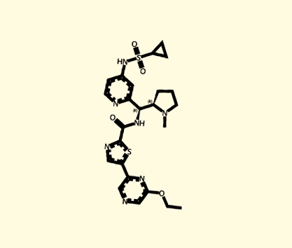 CCOc1cncc(-c2cnc(C(=O)N[C@@H](c3cc(NS(=O)(=O)C4CC4)ccn3)[C@H]3CCCN3C)s2)n1